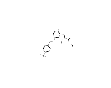 CCOC(=O)c1cc2c(Cl)ccc(OCc3ccc(C(C)(C)N)cc3)c2n1C